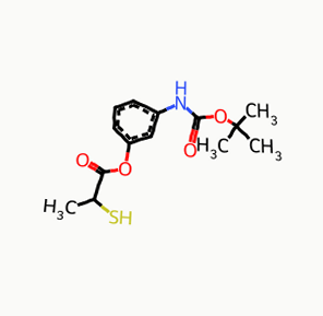 CC(S)C(=O)Oc1cccc(NC(=O)OC(C)(C)C)c1